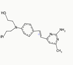 Cc1cc(/C=C/c2ccc(N(CCO)CCC(C)C)cc2)nc(N)n1